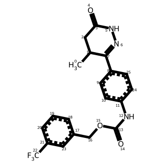 CC1CC(=O)NN=C1c1ccc(NC(=O)OCc2cccc(C(F)(F)F)c2)cc1